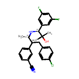 C[C@H](N[C@@H](c1cc(F)cc(F)c1)C(C)(C)O)C(Cc1ccc(Cl)cc1)c1cccc(C#N)c1